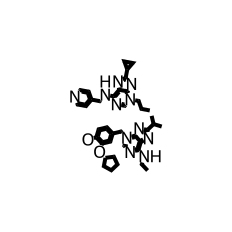 CCCn1cnc(NCc2ccncc2)c2nc(C3CC3)nc1-2.CCNc1ncn(Cc2ccc(OC)c(OC3CCCC3)c2)c2nc(C(C)C)nc1-2